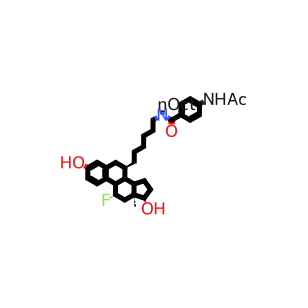 CCCCCCCCN(CCCCCC[C@@H]1Cc2cc(O)ccc2C2C1C1CC[C@H](O)[C@@]1(C)C[C@@H]2F)C(=O)c1ccc(NC(C)=O)cc1